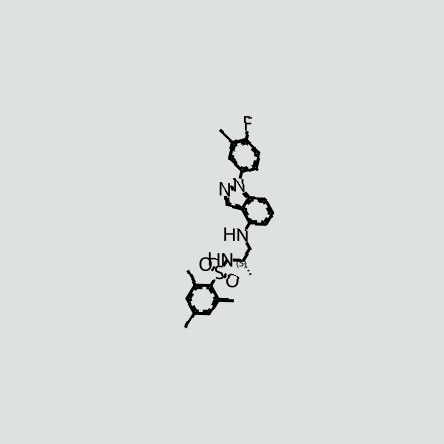 Cc1cc(C)c(S(=O)(=O)N[C@@H](C)CNc2cccc3c2cnn3-c2ccc(F)c(C)c2)c(C)c1